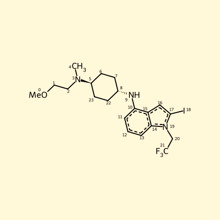 COCCN(C)[C@H]1CC[C@H](Nc2cccc3c2cc(I)n3CC(F)(F)F)CC1